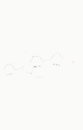 CNc1nc(-c2cccnc2)nc2c(OC)cc(-c3ccc(OC(F)F)cc3)cc12